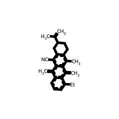 C=C(C)C1CCc2c(c(C#N)c3c(=C)c4cccc(CC)c4c(=C)c3c2C)C1